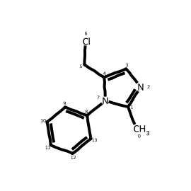 Cc1ncc(CCl)n1-c1ccccc1